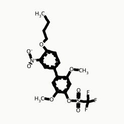 CCCCOc1ccc(-c2cc(OC)c(OS(=O)(=O)C(F)(F)F)cc2OC)cc1[N+](=O)[O-]